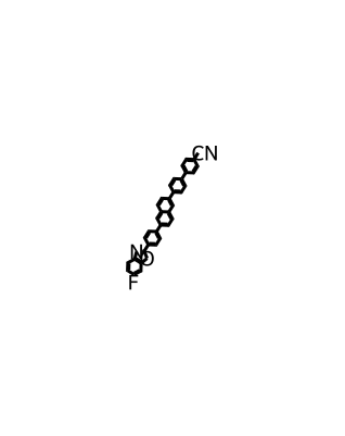 N#Cc1ccc(-c2ccc(-c3ccc4cc(-c5ccc(-c6nc7ccc(F)cc7o6)cc5)ccc4c3)cc2)cc1